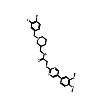 COc1ccc(-c2cnc(SCC(=O)NCC3CCCN(Cc4ccc(F)c(F)c4)C3)nc2)cc1OC